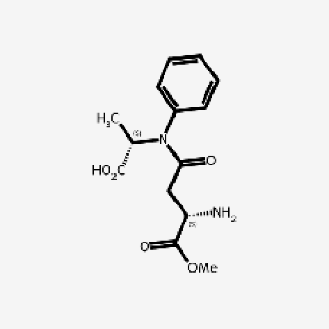 COC(=O)[C@@H](N)CC(=O)N(c1ccccc1)[C@@H](C)C(=O)O